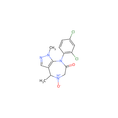 CC1c2cnn(C)c2N(c2ccc(Cl)cc2Cl)C(=O)C[NH+]1[O-]